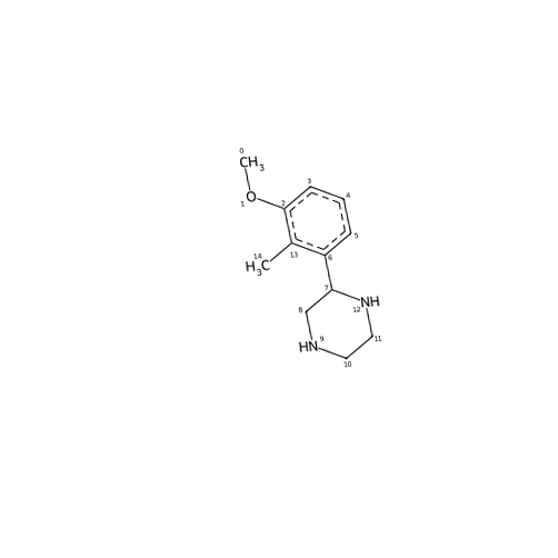 COc1cccc(C2CNCCN2)c1C